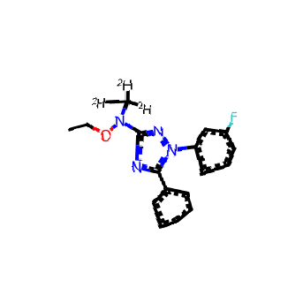 [2H]C([2H])([2H])N(OCC)c1nc(-c2ccccc2)n(-c2cccc(F)c2)n1